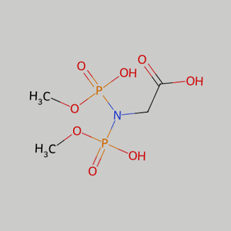 COP(=O)(O)N(CC(=O)O)P(=O)(O)OC